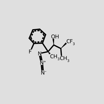 C[C@@H]([C@H](O)[C@](C)(N=[N+]=[N-])c1ccccc1F)C(F)(F)F